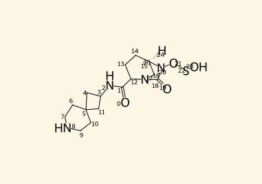 O=C(NC1CC2(CCNCC2)C1)C1CC[C@@H]2CN1C(=O)N2OSO